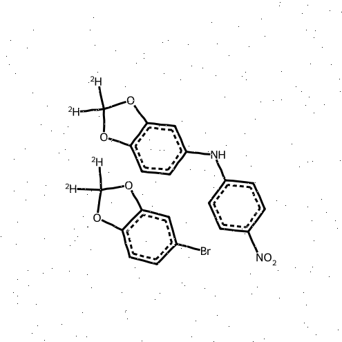 [2H]C1([2H])Oc2ccc(Br)cc2O1.[2H]C1([2H])Oc2ccc(Nc3ccc([N+](=O)[O-])cc3)cc2O1